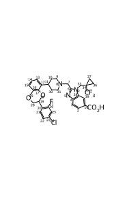 O=C(O)c1ccc2nc(CN3CCC(c4cccc5c4OC(c4ccc(Cl)cc4F)CO5)CC3)n(CC3(C(F)(F)F)CC3)c2c1